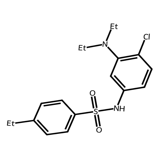 CCc1ccc(S(=O)(=O)Nc2ccc(Cl)c(N(CC)CC)c2)cc1